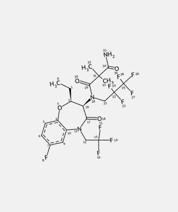 CC[C@@H]1Oc2ccc(F)cc2N(CC(F)(F)F)C(=O)[C@@H]1N(CC(F)(F)C(F)(F)F)C(=O)C(C)(C)C(N)=O